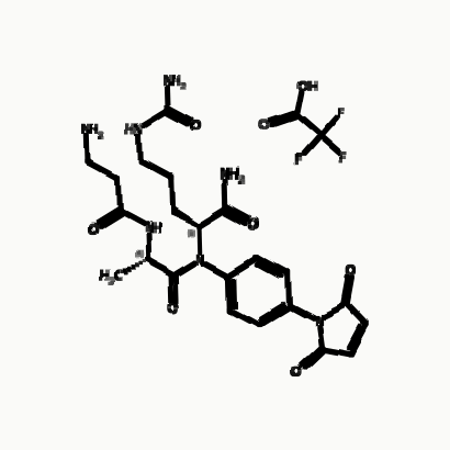 C[C@H](NC(=O)CCN)C(=O)N(c1ccc(N2C(=O)C=CC2=O)cc1)[C@@H](CCCNC(N)=O)C(N)=O.O=C(O)C(F)(F)F